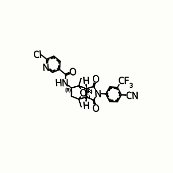 CC12C[C@@H](NC(=O)c3ccc(Cl)nc3)C(C)(O1)[C@@H]1C(=O)N(c3ccc(C#N)c(C(F)(F)F)c3)C(=O)[C@@H]12